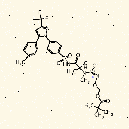 Cc1ccc(-c2cc(C(F)(F)F)nn2-c2ccc(S(=O)(=O)NC(=O)C(C)(C)N(C)/[N+]([O-])=N\OCOC(=O)C(C)(C)C)cc2)cc1